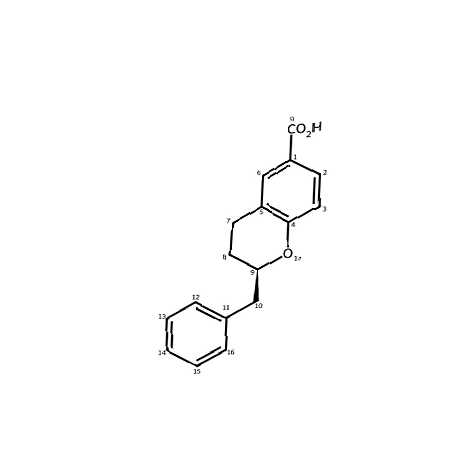 O=C(O)c1ccc2c(c1)CC[C@H](Cc1ccccc1)O2